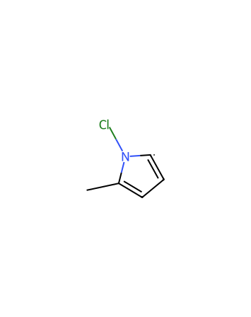 Cc1cc[c]n1Cl